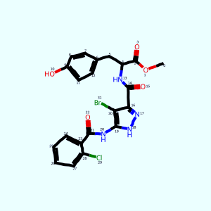 COC(=O)C(Cc1ccc(O)cc1)NC(=O)c1n[nH]c(NC(=O)c2ccccc2Cl)c1Br